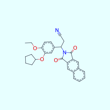 CCOc1ccc(C(CC#N)N2C(=O)c3cc4ccccc4cc3C2=O)cc1OC1CCCC1